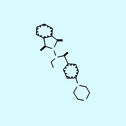 CCN(C(=O)c1ccc(N2CCOCC2)cc1)N1C(=O)c2ccccc2C1=O